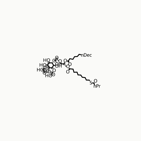 CCCCCCCCCCCCCCCC(=O)O[C@H](COC(=O)CCCCCCCCCSC(=O)CCC)COP(=O)(O)OC1C(O)[C@@H](OP(=O)(O)O)C(OP(=O)(O)O)[C@@H](O)[C@H]1O